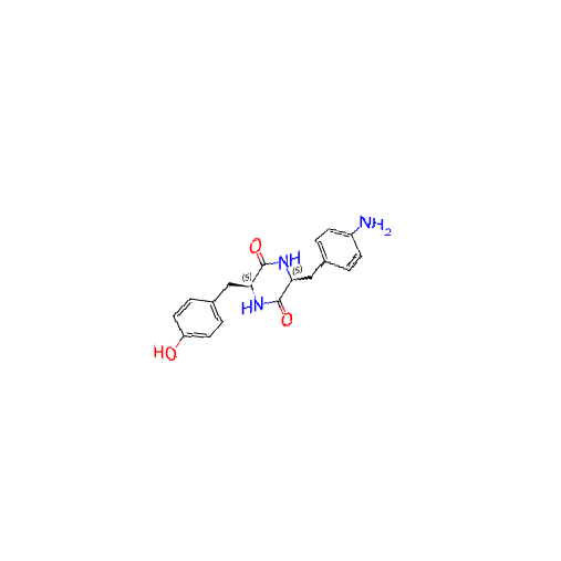 Nc1ccc(C[C@@H]2NC(=O)[C@H](Cc3ccc(O)cc3)NC2=O)cc1